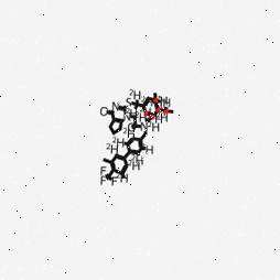 [2H]c1c([2H])c(-c2c([2H])c([2H])c(C(F)(F)F)c(C)c2[2H])c([2H])c([2H])c1CN(C(=O)Cn1c(SC([2H])([2H])c2ccc(F)cc2)nc(=O)c2c1CCC2)C([2H])([2H])C([2H])([2H])N(C([2H])([2H])C)C([2H])([2H])C